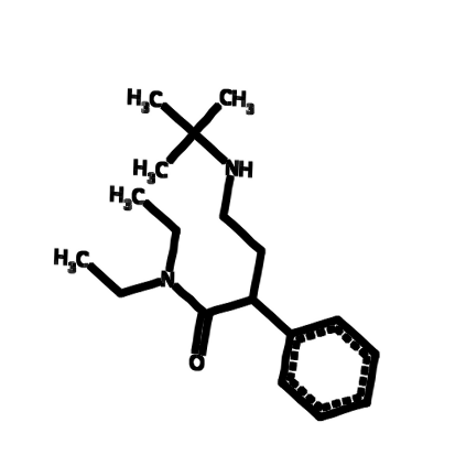 CCN(CC)C(=O)C(CCNC(C)(C)C)c1ccccc1